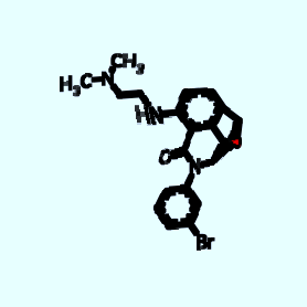 CN(C)CCNc1ccc2c3c1C(=O)N(c1cccc(Br)c1)C(C=C2)C3=O